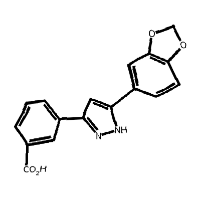 O=C(O)c1cccc(-c2cc(-c3ccc4c(c3)OCO4)[nH]n2)c1